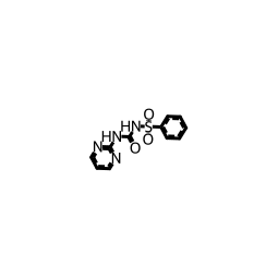 O=C(Nc1ncccn1)NS(=O)(=O)c1ccccc1